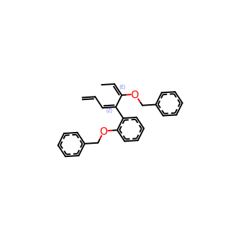 C=C/C=C(\C(=C/C)OCc1ccccc1)c1ccccc1OCc1ccccc1